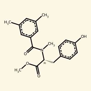 COC(=O)[C@@H](Cc1ccc(O)cc1)N(C)C(=O)c1cc(C)cc(C)c1